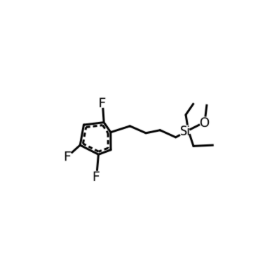 CC[Si](CC)(CCCCc1cc(F)c(F)cc1F)OC